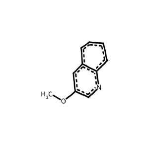 COc1cnc2[c]cccc2c1